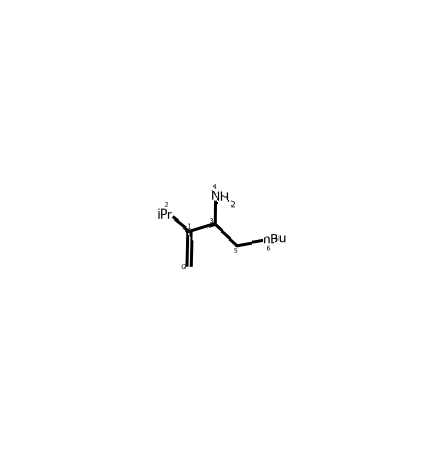 C=C(C(C)C)C(N)CCCCC